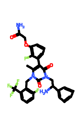 Cc1c(-c2cccc(OCC(N)=O)c2F)c(=O)n(CC(N)c2ccccc2)c(=O)n1Cc1c(F)cccc1C(F)(F)F